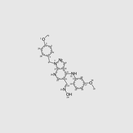 COc1ccc(Cn2ncc3c(Nc4cccc(OC)c4)c(C=NO)cnc32)cc1